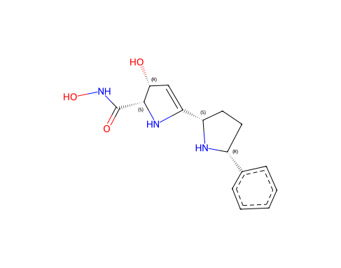 O=C(NO)[C@H]1NC([C@@H]2CC[C@H](c3ccccc3)N2)=C[C@H]1O